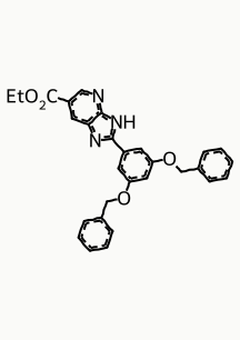 CCOC(=O)c1cnc2[nH]c(-c3cc(OCc4ccccc4)cc(OCc4ccccc4)c3)nc2c1